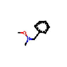 CON(C)Cc1ccccc1